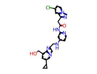 O=C(Cc1ncn2ccc(Cl)cc12)Nc1cc(NCc2cn3cc(C4CC4)cc(CO)c3n2)ccn1